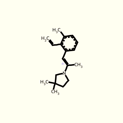 C=Cc1c(C)cccc1/C=C(\C)N1CCC(C)(C)C1